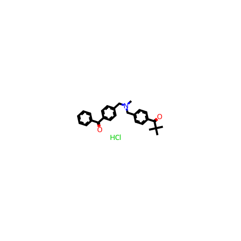 CN(Cc1ccc(C(=O)c2ccccc2)cc1)Cc1ccc(C(=O)C(C)(C)C)cc1.Cl